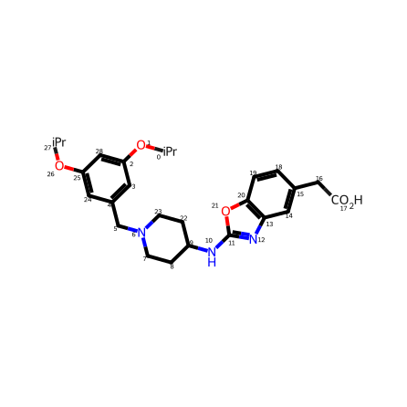 CC(C)Oc1cc(CN2CCC(Nc3nc4cc(CC(=O)O)ccc4o3)CC2)cc(OC(C)C)c1